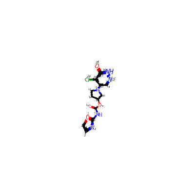 O=C(Nc1ncco1)OC1CCN(c2cn[nH]c(=O)c2Cl)C1